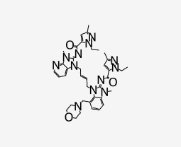 CCn1nc(C)cc1C(=O)/N=c1\n(C)c2ncccc2n1C/C=C/Cn1/c(=N/C(=O)c2cc(C)nn2CC)n(C)c2cccc(CN3CCOCC3)c21